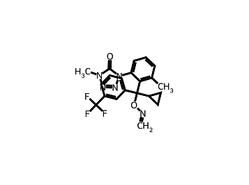 C=NOC(c1cccc(C(F)(F)F)c1)(c1c(C)cccc1-n1nnn(C)c1=O)C1CC1